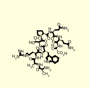 C[C@H](N)C(=O)N[C@@H](C)C(=O)N[C@@H](CCCNC(=N)N)C(=O)N[C@@H](Cc1c[nH]c2ccccc12)C(=O)N[C@H](C(=O)N1CCC[C@H]1C(=O)N[C@@H](CCC(N)=O)C(=O)N[C@@H](CCC(N)=O)C(=O)N[C@@H](C)C(=O)O)[C@@H](C)O